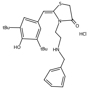 CC(C)(C)c1cc(C=C2SCC(=O)N2CCNCc2ccccc2)cc(C(C)(C)C)c1O.Cl